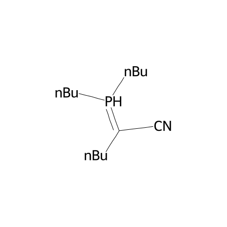 CCCCC(C#N)=[PH](CCCC)CCCC